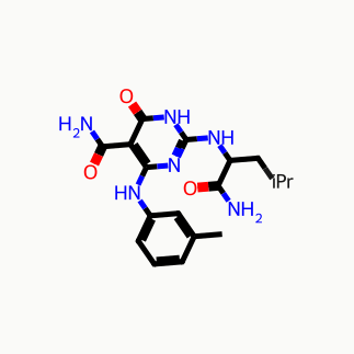 Cc1cccc(Nc2nc(NC(CC(C)C)C(N)=O)[nH]c(=O)c2C(N)=O)c1